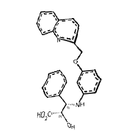 O=C(O)[C@@H](O)[C@@H](Nc1cccc(OCc2ccc3ccccc3n2)c1)c1ccccc1